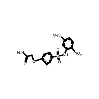 COc1ccc([N+](=O)[O-])c(NS(=O)(=O)c2ccc(OCC(N)=O)cc2)c1